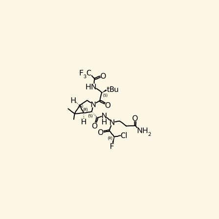 CC(C)(C)[C@H](NC(=O)C(F)(F)F)C(=O)N1C[C@H]2[C@@H]([C@H]1C(=O)NN(CCC(N)=O)C(=O)[C@H](F)Cl)C2(C)C